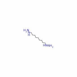 NNCCCCCCCCCNN